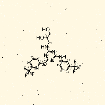 OCC(O)CNc1nc(Nc2cccc(C(F)(F)F)c2)nc(Oc2cccc(C(F)(F)F)n2)n1